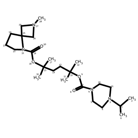 CC(C)N1CCN(C(=O)OC(C)(C)CCC(C)(C)OC(=O)N2CCCC23CN(C)C3)CC1